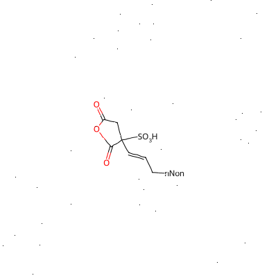 CCCCCCCCCCC=CC1(S(=O)(=O)O)CC(=O)OC1=O